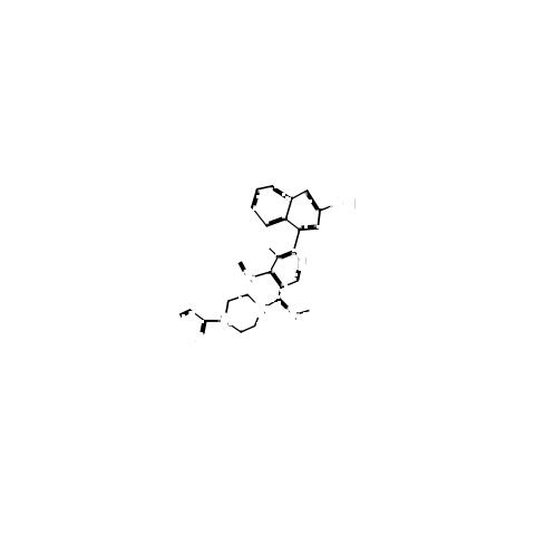 C=CC(=O)N1CCN(/C(=N/C)c2cnc(-c3cc(O)cc4ccccc34)c(F)c2N=C)CC1